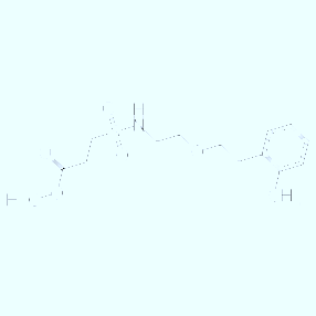 COC(=O)CCS(=O)(=O)NCCOCCc1ccccc1C